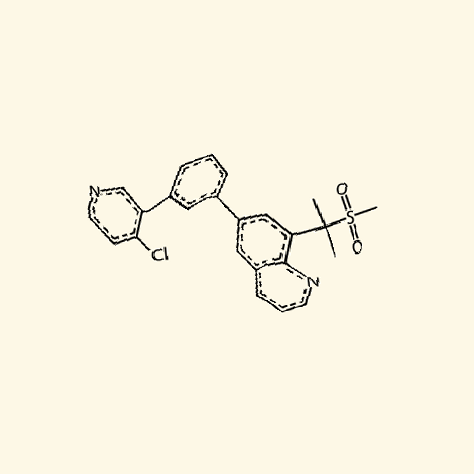 CC(C)(c1cc(-c2cccc(-c3cnccc3Cl)c2)cc2cccnc12)S(C)(=O)=O